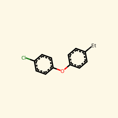 CCc1ccc(Oc2ccc(Cl)cc2)cc1